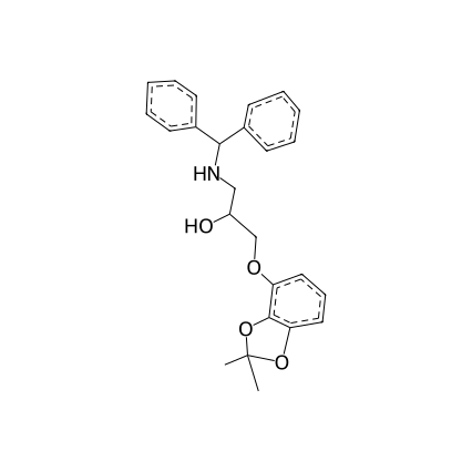 CC1(C)Oc2cccc(OCC(O)CNC(c3ccccc3)c3ccccc3)c2O1